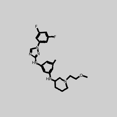 COCCN1CCCC(Nc2cc(C)cc(Nc3ncn(-c4cc(F)cc(F)c4)n3)c2)C1